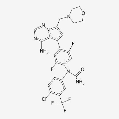 NC(=O)N(c1ccc(Cl)c(C(F)(F)F)c1)c1cc(F)c(-c2cc(CN3CCOCC3)n3ncnc(N)c23)cc1F